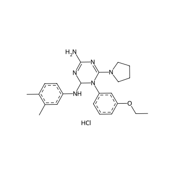 CCOc1cccc(N2C(N3CCCC3)=NC(N)=NC2Nc2ccc(C)c(C)c2)c1.Cl